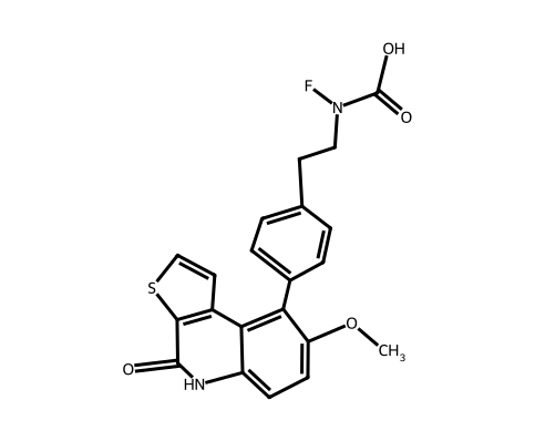 COc1ccc2[nH]c(=O)c3sccc3c2c1-c1ccc(CCN(F)C(=O)O)cc1